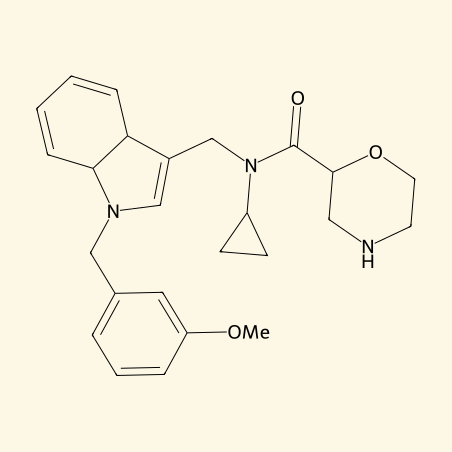 COc1cccc(CN2C=C(CN(C(=O)C3CNCCO3)C3CC3)C3C=CC=CC32)c1